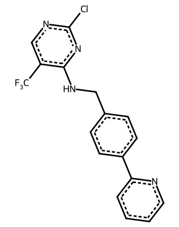 FC(F)(F)c1cnc(Cl)nc1NCc1ccc(-c2ccccn2)cc1